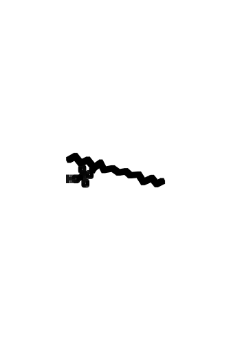 CCCCCCCCCCCC(CCCC)OS(=O)(=O)O